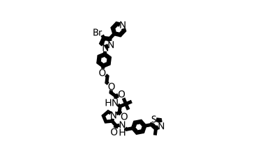 Cc1ncsc1-c1ccc(CNC(=O)C2CCCN2C(=O)C(NC(=O)COCCOc2ccc(-n3cc(Br)c(-c4ccncc4)n3)cc2)C(C)(C)C)cc1